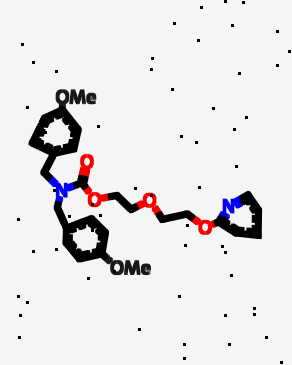 COc1ccc(CN(Cc2ccc(OC)cc2)C(=O)OCCOCCOc2ccccn2)cc1